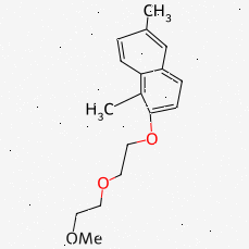 COCCOCCOc1ccc2cc(C)ccc2c1C